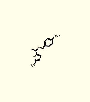 COc1ccc(NN=C(C)c2ccc([N+](=O)[O-])o2)cc1